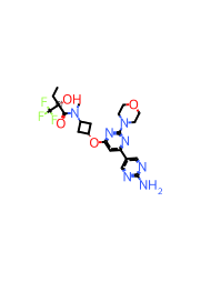 CC[C@@](O)(C(=O)N(C)[C@H]1C[C@H](Oc2cc(-c3cnc(N)nc3)nc(N3CCOCC3)n2)C1)C(F)(F)F